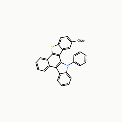 COc1ccc2sc3c4ccccc4c4c5ccccc5n(-c5ccccc5)c4c3c2c1